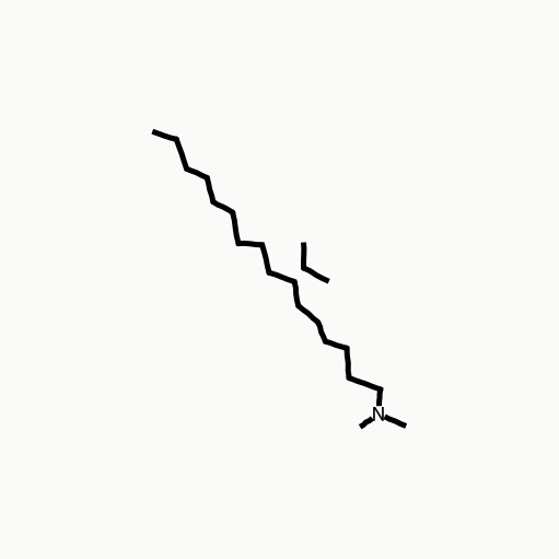 CCC.CCCCCCCCCCCCCCCCN(C)C